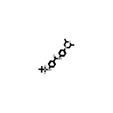 CC1CN(c2ccc(NC(=O)c3ccc(NS(=O)(=O)C(C)(C)C)cc3)cc2)CC(C)O1